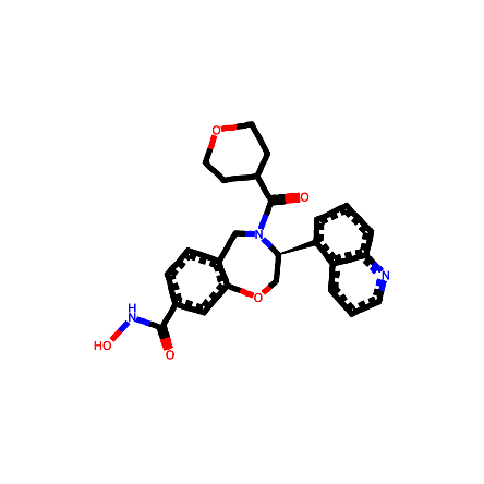 O=C(NO)c1ccc2c(c1)OC[C@H](c1cccc3ncccc13)N(C(=O)C1CCOCC1)C2